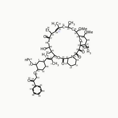 CCCOC1CC(C=C(C)C2OC(=O)C3CCCCN3C(=O)C(=O)C3(O)OC(C(OC)CC(C)C/C(C)=C/C(CC)C(=O)CC(O)C2C)C(OC)CC3C)CCC1OCC(=O)c1ccccc1